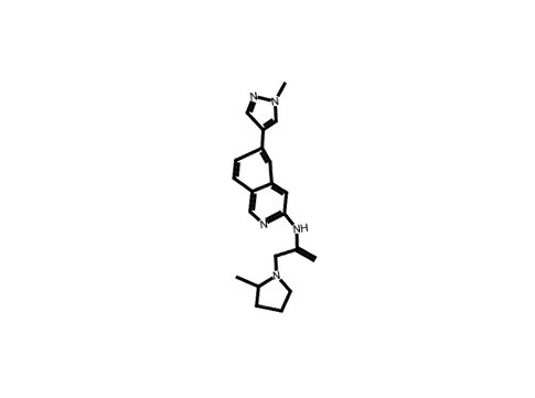 C=C(CN1CCCC1C)Nc1cc2cc(-c3cnn(C)c3)ccc2cn1